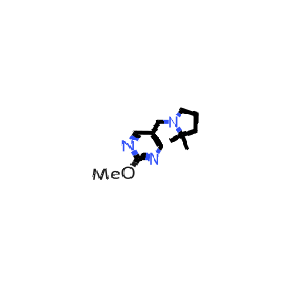 COc1ncc(CN2CCCC2(C)C)cn1